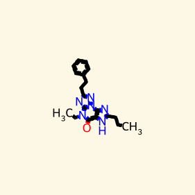 CCCc1nc2c([nH]1)c(=O)n(CC)c1nc(CCc3ccccc3)nn21